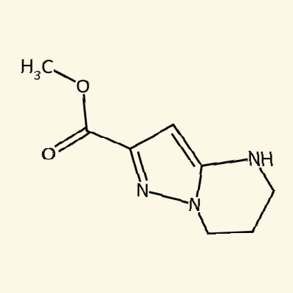 COC(=O)c1cc2n(n1)CCCN2